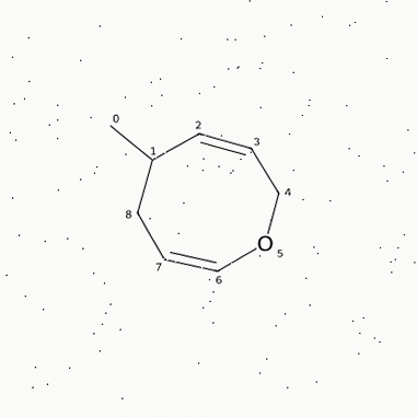 CC1/C=C\CO/C=C\C1